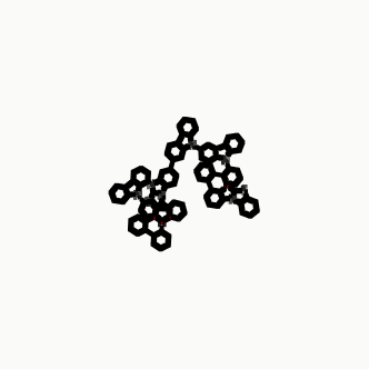 c1ccc(-c2cccc3c2nc2sc4ccccc4n23)c(-c2ccccc2-n2c3ccccc3c3cc(-n4c5ccccc5c5ccc(-c6ccc7c(c6)nc6oc8c(-c9ccccc9-c9ccccc9-n9c%10ccccc%10c%10cc(-n%11c%12ccccc%12c%12ccccc%12%11)ccc%109)cccc8n67)cc54)ccc32)c1